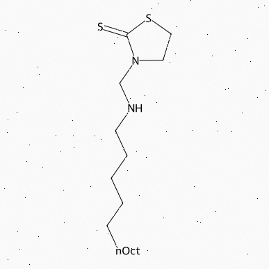 CCCCCCCCCCCCCNCN1CCSC1=S